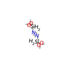 CCOC(OCC)[SiH2]CCCN1CCN(CCC[SiH2]C(OCC)OCC)CC1